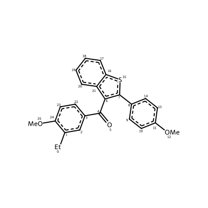 CCc1cc(C(=O)c2c(-c3ccc(OC)cc3)sc3ccccc23)ccc1OC